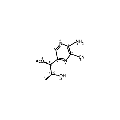 CC(=O)O[C@@H](c1cnc(N)c(C#N)n1)[C@H](C)O